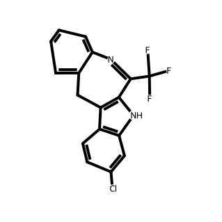 FC(F)(F)C1=Nc2ccccc2Cc2c1[nH]c1cc(Cl)ccc21